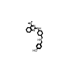 CN(C)c1nc(NC2CCC(CNCc3ccc(O)cc3)CC2)nc2c1CCCC2